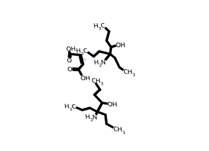 CCCC(O)C(N)(CCC)CCC.CCCC(O)C(N)(CCC)CCC.O=C(O)/C=C\C(=O)O